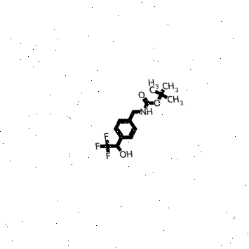 CC(C)(C)OC(=O)NCc1ccc(C(O)C(F)(F)F)cc1